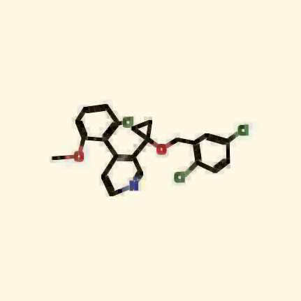 COc1cccc(Cl)c1-c1ccncc1C1(OCc2cc(Cl)ccc2Cl)CC1